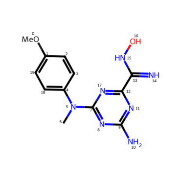 COc1ccc(N(C)c2nc(N)nc(C(=N)NO)n2)cc1